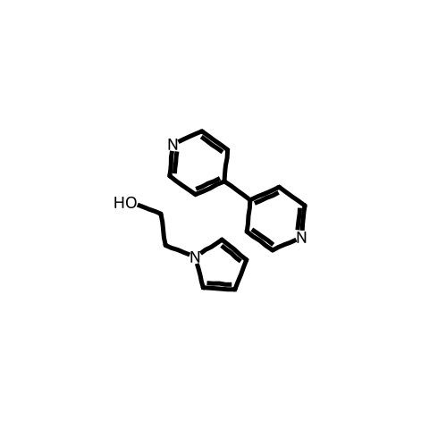 OCCn1cccc1.c1cc(-c2ccncc2)ccn1